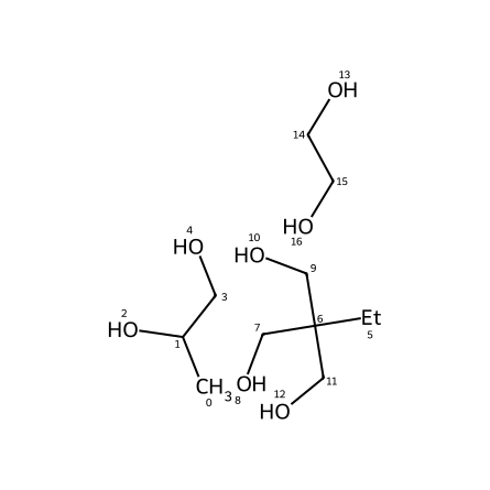 CC(O)CO.CCC(CO)(CO)CO.OCCO